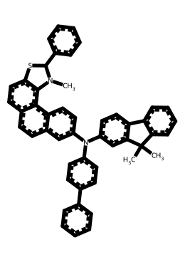 CN1c2c(ccc3ccc4cc(N(c5ccc(-c6ccccc6)cc5)c5ccc6c(c5)C(C)(C)c5ccccc5-6)ccc4c23)SC1c1ccccc1